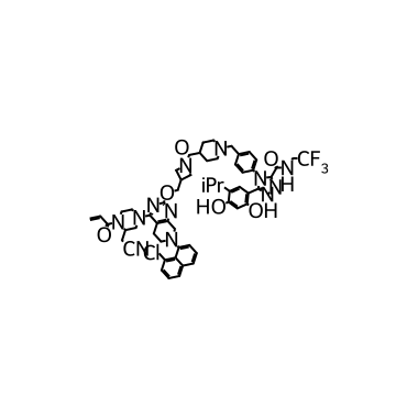 C=CC(=O)N1CCN(c2nc(OCC3CN(C(=O)C4CCN(Cc5ccc(-n6c(C(=O)NCC(F)(F)F)nnc6-c6cc(C(C)C)c(O)cc6O)cc5)CC4)C3)nc3c2CCN(c2cccc4cccc(Cl)c24)C3)CC1CC#N